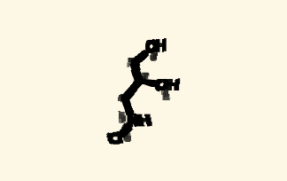 OC[C@@H](O)CNCl